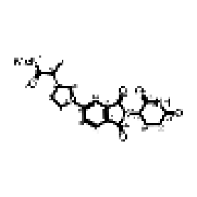 CNC(=O)C(C)[C@@H]1CCN(c2ccc3c(c2)C(=O)N(C2CCC(=O)NC2=O)C3=O)C1